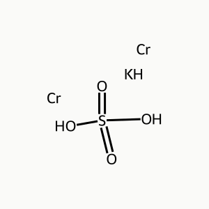 O=S(=O)(O)O.[Cr].[Cr].[KH]